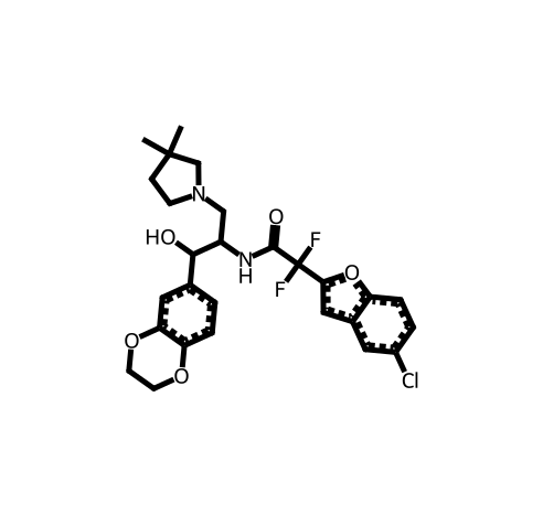 CC1(C)CCN(CC(NC(=O)C(F)(F)c2cc3cc(Cl)ccc3o2)C(O)c2ccc3c(c2)OCCO3)C1